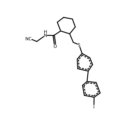 N#CCNC(=O)C1CCCCC1CSc1ccc(-c2ccc(I)cc2)cc1